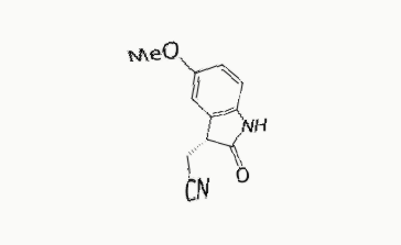 COc1ccc2c(c1)[C@@H](CC#N)C(=O)N2